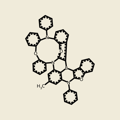 Cc1cc2c3c(c1)N1c4ccccc4Oc4ccccc4N(c4ccccc4)c4cccc5c(c1oc45)B3c1c(oc3ccccc13)N2c1ccccc1